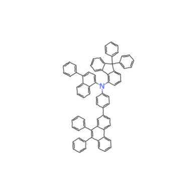 c1ccc(-c2ccc(N(c3ccc(-c4ccc5c(c4)c(-c4ccccc4)c(-c4ccccc4)c4ccccc45)cc3)c3cccc4c3-c3ccccc3C4(c3ccccc3)c3ccccc3)c3ccccc23)cc1